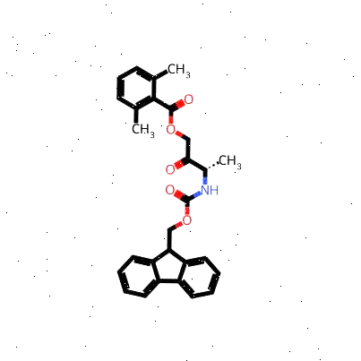 Cc1cccc(C)c1C(=O)OCC(=O)[C@H](C)NC(=O)OCC1c2ccccc2-c2ccccc21